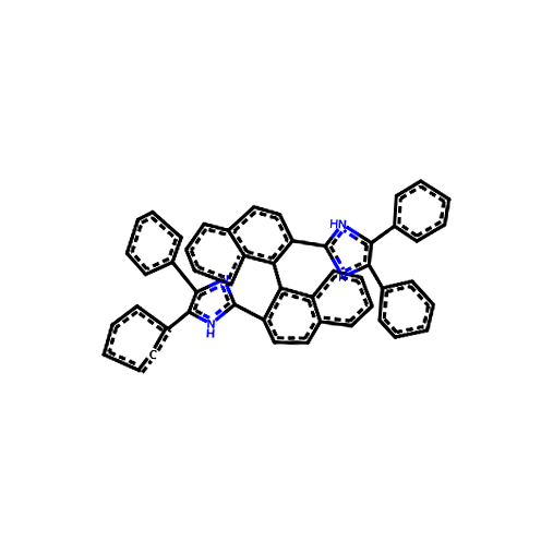 c1ccc(-c2nc(-c3ccc4ccccc4c3-c3c(-c4nc(-c5ccccc5)c(-c5ccccc5)[nH]4)ccc4ccccc34)[nH]c2-c2ccccc2)cc1